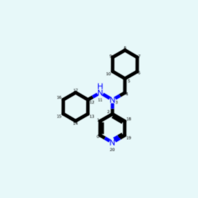 c1cc(N(CC2CCCCC2)NC2CCCCC2)ccn1